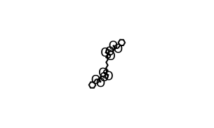 O=C(COS(=O)(=O)CCCCCCS(=O)(=O)OCC(=O)OC1CCCCC1)OC1CCCCC1